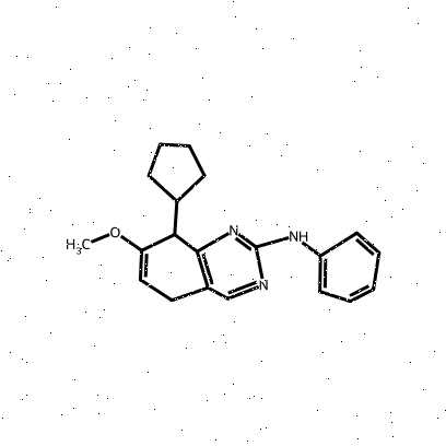 COC1=CCc2cnc(Nc3ccccc3)nc2C1C1CCCC1